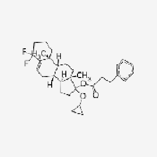 C[C@]12CCCC(F)(F)C1=CC[C@@H]1[C@H]2CC[C@@]2(C)[C@H]1CCC2(OC(=O)CCc1ccccc1)OC1CC1